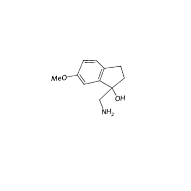 COc1ccc2c(c1)C(O)(CN)CC2